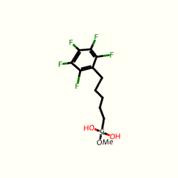 CO[Si](O)(O)CCCCCc1c(F)c(F)c(F)c(F)c1F